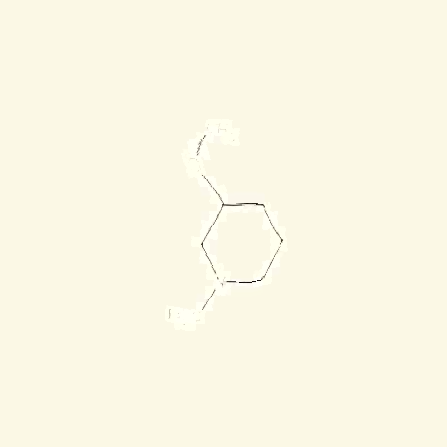 COC1[CH]CCN(C)C1